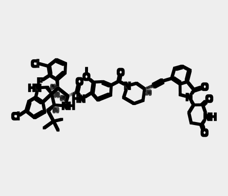 COc1cc(C(=O)N2CCC[C@@H](C#Cc3cccc4c3CN(C3CCC(=O)NC3=O)C4=O)C2)ccc1NC(=O)[C@@H]1N[C@@H](CC(C)(C)C)[C@@]2(CNc3cc(Cl)ccc32)[C@H]1c1cccc(Cl)c1F